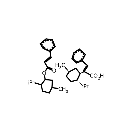 CC(C)[C@@H]1CC[C@@H](C)C[C@H]1/C(=C\c1ccccc1)C(=O)O.CC1CCC(C(C)C)C(OC(=O)C=Cc2ccccc2)C1